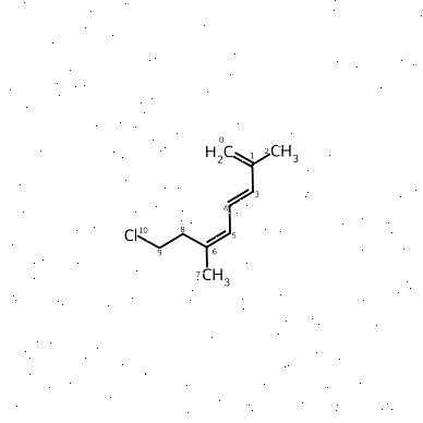 C=C(C)/C=C/C=C(/C)CCCl